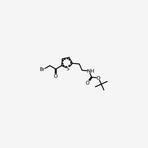 CC(C)(C)OC(=O)NCCc1ccc(C(=O)CBr)s1